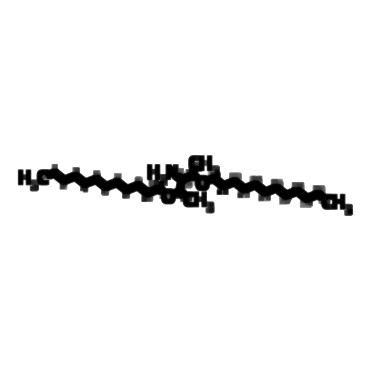 CCCCCCCCCCCCOC(C)C(N)C(C)OCCCCCCCCCCCC